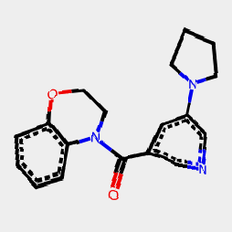 O=C(c1cncc(N2CCCC2)c1)N1CCOc2ccccc21